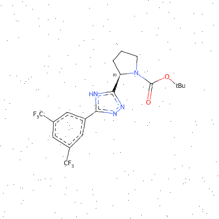 CC(C)(C)OC(=O)N1CCC[C@@H]1c1nnc(-c2cc(C(F)(F)F)cc(C(F)(F)F)c2)[nH]1